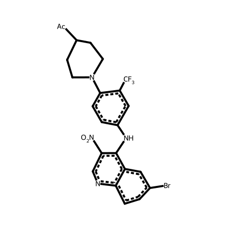 CC(=O)C1CCN(c2ccc(Nc3c([N+](=O)[O-])cnc4ccc(Br)cc34)cc2C(F)(F)F)CC1